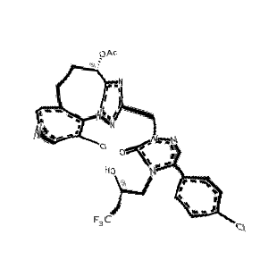 CC(=O)O[C@H]1CCc2cncc(Cl)c2-n2nc(Cn3nc(-c4ccc(Cl)cc4)n(C[C@H](O)C(F)(F)F)c3=O)nc21